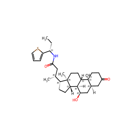 CC[C@H](NC(=O)C[C@@H](C)[C@H]1CC[C@H]2[C@@H]3[C@H](O)C[C@@H]4CC(=O)CC[C@]4(C)[C@H]3CC[C@]12C)c1cccs1